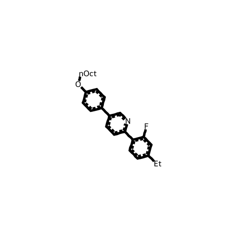 CCCCCCCCOc1ccc(-c2ccc(-c3ccc(CC)cc3F)nc2)cc1